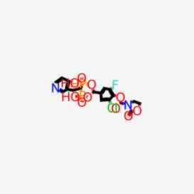 O=C1OCCN1C(=O)Oc1c(F)cc(C2O[PH](=O)C(O)(Cc3cccnc3)P(=O)(O)O2)cc1Cl